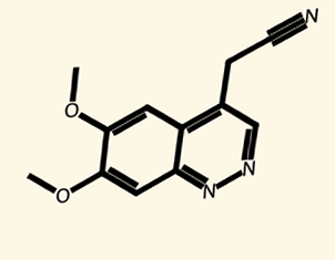 COc1cc2nncc(CC#N)c2cc1OC